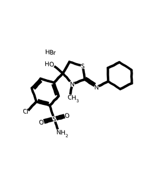 Br.CN1C(=NC2CCCCC2)SCC1(O)c1ccc(Cl)c(S(N)(=O)=O)c1